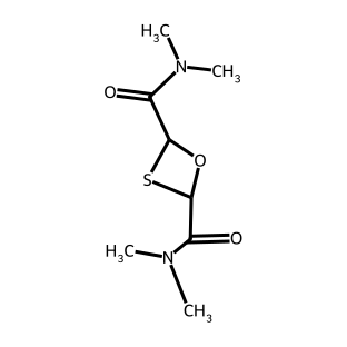 CN(C)C(=O)C1OC(C(=O)N(C)C)S1